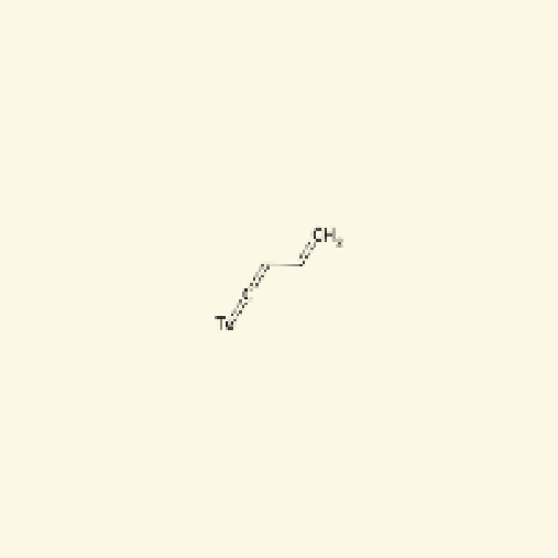 C=CC=C=[Te]